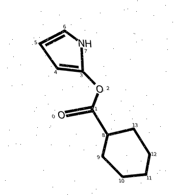 O=C(Oc1ccc[nH]1)C1CCCCC1